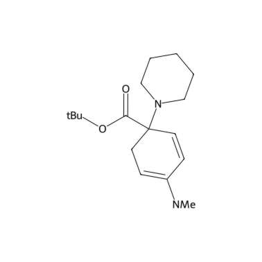 CNC1=CCC(C(=O)OC(C)(C)C)(N2CCCCC2)C=C1